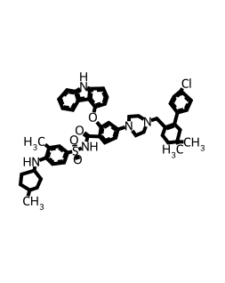 Cc1cc(S(=O)(=O)NC(=O)c2ccc(N3CCN(CC4=C(c5ccc(Cl)cc5)CC(C)(C)CC4)CC3)cc2Oc2cccc3[nH]c4ccccc4c23)ccc1NC1CCC(C)CC1